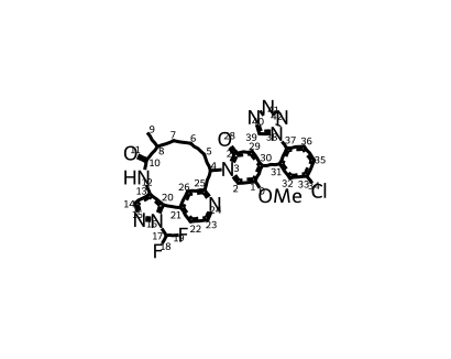 COc1cn(C2CCCC(C)C(=O)Nc3cnn(C(F)F)c3-c3ccnc2c3)c(=O)cc1-c1cc(Cl)ccc1-n1cnnn1